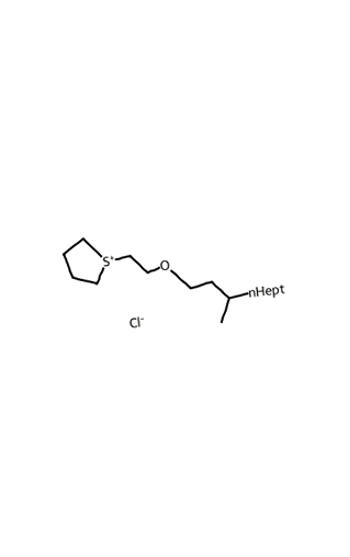 CCCCCCCC(C)CCOCC[S+]1CCCC1.[Cl-]